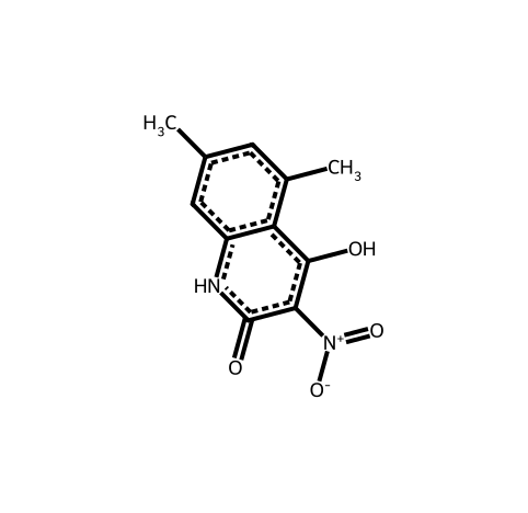 Cc1cc(C)c2c(O)c([N+](=O)[O-])c(=O)[nH]c2c1